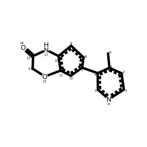 Cc1ccncc1-c1ccc2c(c1)OCC(=O)N2